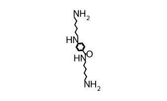 NCCCCCCNC(=O)c1ccc(NCCCCCCN)cc1